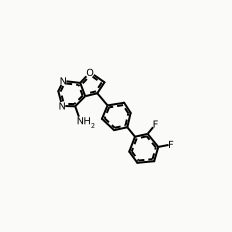 Nc1ncnc2occ(-c3ccc(-c4cccc(F)c4F)cc3)c12